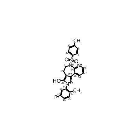 Cc1ccc(S(=O)(=O)N2CCc3c(nn(-c4cc(F)ccc4C)c3O)-c3cccnc32)cc1